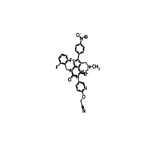 CN(C)Cc1c(-c2ccc([N+](=O)[O-])cc2)sc2c1c(=O)n(-c1ccc(OCC#N)nc1)c(=O)n2Cc1c(F)cccc1F